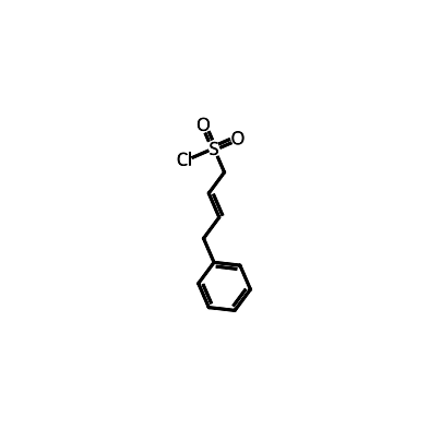 O=S(=O)(Cl)CC=CCc1ccccc1